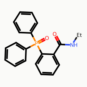 CCNC(=O)c1ccccc1P(=O)(c1ccccc1)c1ccccc1